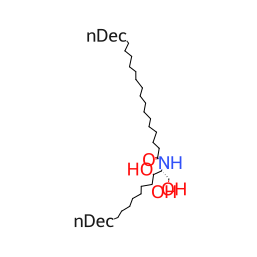 CCCCCCCCCCCCCCCCCCCCCCCCCC(=O)N[C@H](CO)[C@H](O)C(O)CCCCCCCCCCCCCCCC